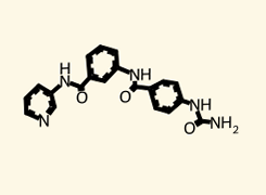 NC(=O)Nc1ccc(C(=O)Nc2cccc(C(=O)Nc3cccnc3)c2)cc1